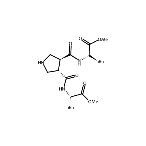 CC[C@H](C)[C@H](NC(=O)[C@@H]1CNC[C@H]1C(=O)N[C@H](C(=O)OC)[C@@H](C)CC)C(=O)OC